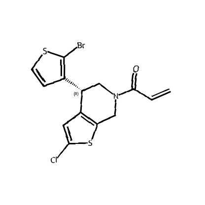 C=CC(=O)N1Cc2sc(Cl)cc2[C@H](c2ccsc2Br)C1